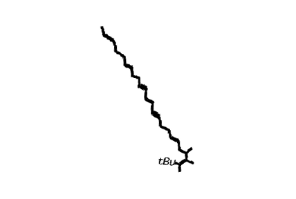 CC=CCCC=CCCC=CCCC=CCCC=CCC(C)C(C)=C(C)C(C)(C)C